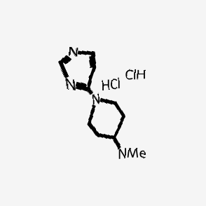 CNC1CCN(c2ccncn2)CC1.Cl.Cl